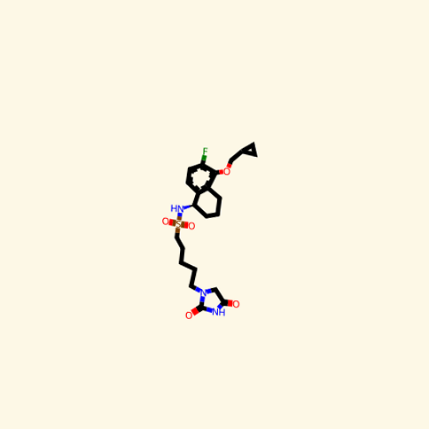 O=C1CN(CCCCCS(=O)(=O)N[C@@H]2CCCc3c2ccc(F)c3OCC2CC2)C(=O)N1